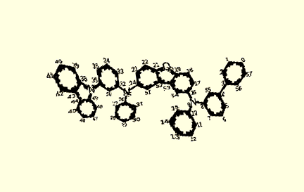 c1ccc(-c2cccc(N(c3ccccc3)c3ccc4oc5ccc(N(c6ccccc6)c6cccc(-n7c8ccccc8c8ccccc87)c6)cc5c4c3)c2)cc1